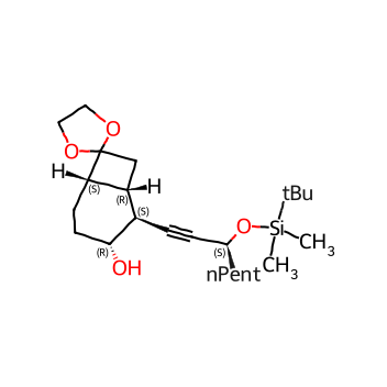 CCCCC[C@@H](C#C[C@@H]1[C@H]2CC3(OCCO3)[C@H]2CC[C@H]1O)O[Si](C)(C)C(C)(C)C